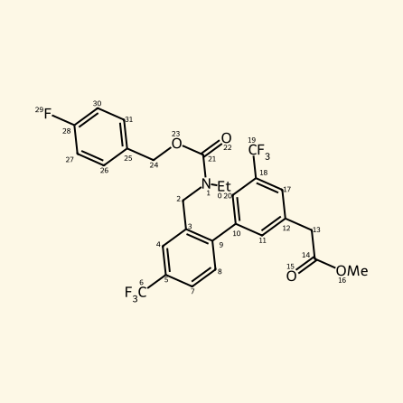 CCN(Cc1cc(C(F)(F)F)ccc1-c1cc(CC(=O)OC)cc(C(F)(F)F)c1)C(=O)OCc1ccc(F)cc1